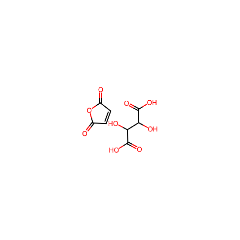 O=C(O)C(O)C(O)C(=O)O.O=C1C=CC(=O)O1